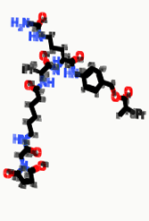 CC(C)C(C)C(=O)OCc1ccc(NC(=O)[C@H](CCCNC(N)=O)NC(=O)[C@@H](NC(=O)CCCCCNC(=O)CN2C(=O)C=CC2=O)C(C)C)cc1